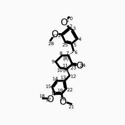 COc1ccc(C[C@H]2CCC[C@H](Cc3ccc(OC)c(OC)c3)C2=O)cc1OC